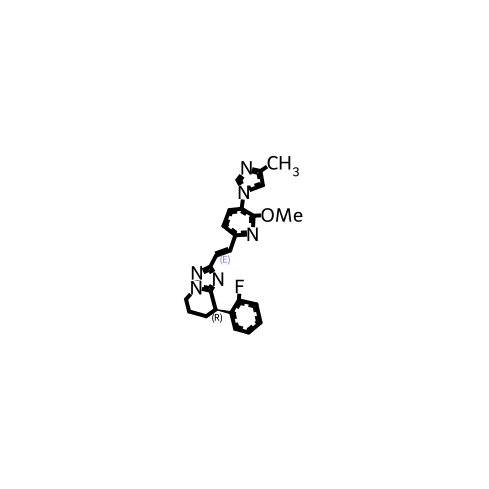 COc1nc(/C=C/c2nc3n(n2)CCC[C@@H]3c2ccccc2F)ccc1-n1cnc(C)c1